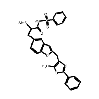 CSC(Cc1ccc2oc(Cc3nc(-c4ccccc4)oc3C)cc2c1)C(=O)NS(=O)(=O)c1ccccc1